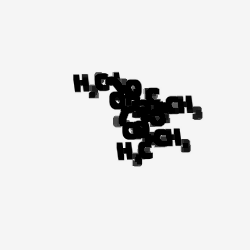 C=CC(=O)OC(CC)[SiH2]C(OC(C)C)OC(C)C